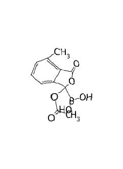 CC(=O)OC1(B(O)O)OC(=O)c2c(C)cccc21